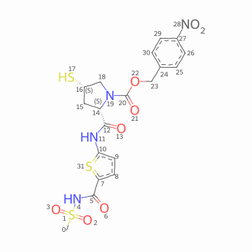 CS(=O)(=O)NC(=O)c1ccc(NC(=O)[C@@H]2C[C@H](S)CN2C(=O)OCc2ccc([N+](=O)[O-])cc2)s1